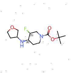 CC(C)(C)OC(=O)N1CC[C@@H](NC2CCOC2)[C@@H](F)C1